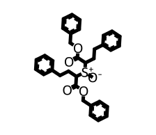 O=C(OCc1ccccc1)C(CCc1ccccc1)[S+]([O-])C(CCc1ccccc1)C(=O)OCc1ccccc1